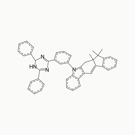 CC12Cc3c(c4ccccc4n3-c3cccc(C4=NC(c5ccccc5)NC(c5ccccc5)=N4)c3)C=C1c1ccccc1C2(C)C